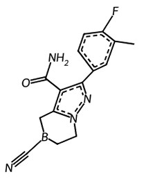 Cc1cc(-c2nn3c(c2C(N)=O)CB(C#N)CC3)ccc1F